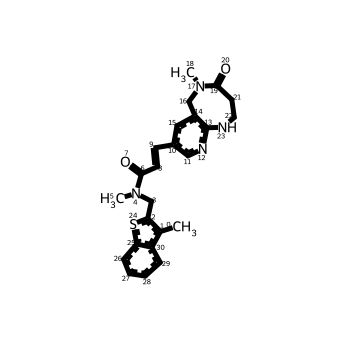 Cc1c(CN(C)C(=O)/C=C/c2cnc3c(c2)CN(C)C(=O)CCN3)sc2ccccc12